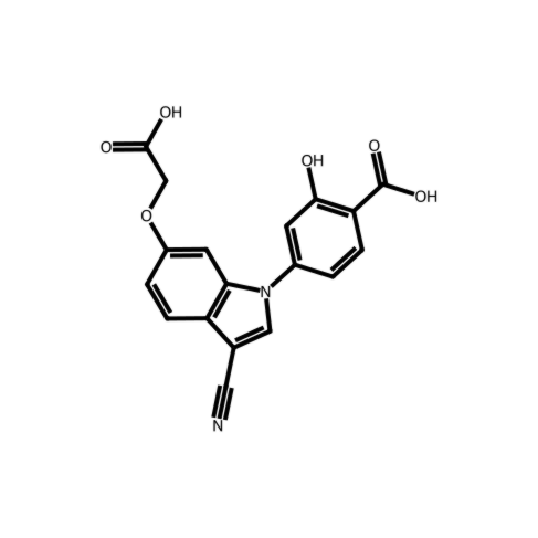 N#Cc1cn(-c2ccc(C(=O)O)c(O)c2)c2cc(OCC(=O)O)ccc12